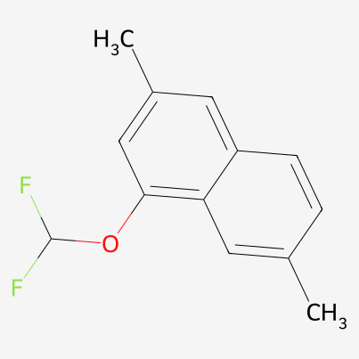 Cc1cc(OC(F)F)c2cc(C)ccc2c1